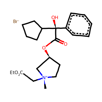 CCOC(=O)C[N@@+]1(C)CC[C@H](OC(=O)[C@@](O)(c2ccccc2)C2CCCC2)C1.[Br-]